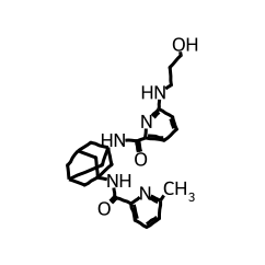 Cc1cccc(C(=O)NC23CC4CC(C2)CC(NC(=O)c2cccc(NCCCO)n2)(C4)C3)n1